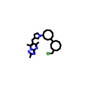 Cc1nc2nc(C)c(CC3CCN(C4CCCCCC(C5CCCCCC(CCl)CC5)CC4)C3)c(C)n2n1